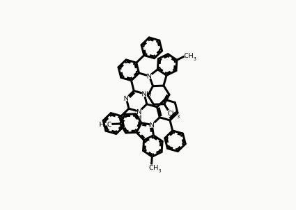 CC1=CC2c3cc(C)ccc3N(c3c(C4=NC(c5ccccc5)NC(C5=C(n6c7ccc(C)cc7c7cc(C)ccc76)C(c6ccccc6)=CCC5)N4)cccc3-c3ccccc3)C2CC1